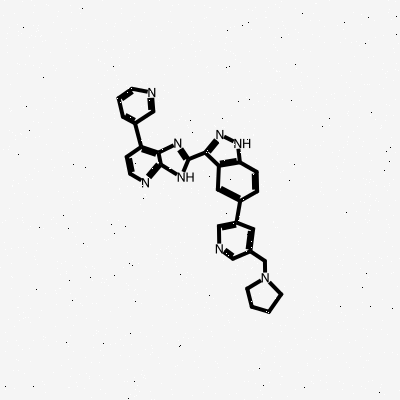 c1cncc(-c2ccnc3[nH]c(-c4n[nH]c5ccc(-c6cncc(CN7CCCC7)c6)cc45)nc23)c1